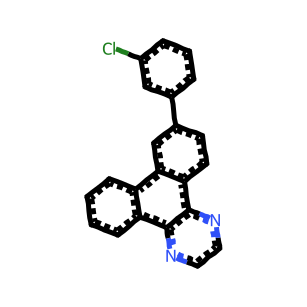 Clc1cccc(-c2ccc3c(c2)c2ccccc2c2nccnc32)c1